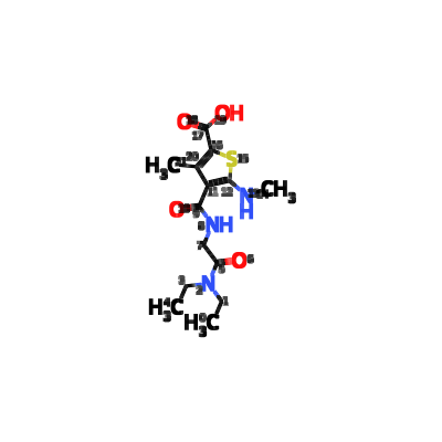 CCN(CC)C(=O)CNC(=O)c1c(NC)sc(C(=O)O)c1C